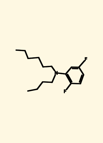 CCCCCCN(CCCC)c1cc(F)ccc1F